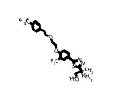 C[C@](N)(CO)c1nnc(-c2ccc(OCCOCCc3ccc(C(F)(F)F)cc3)c(C(F)(F)F)c2)s1